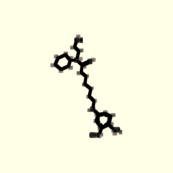 O=Cc1cc(OCCCCCCC(=O)N(CCO)C2CCCCC2)ccc1[N+](=O)[O-]